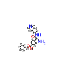 NC[C@@H](C(=O)Nc1ccc2cnccc2c1)c1ccc(C(=O)OCc2ccccc2)cc1